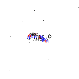 CC[C@H](C)[C@@H](C(CC(=O)N1CCC[C@H]1C(OC)[C@@H](C)C(=O)N[C@H](CN)Cc1ccccc1)OC)N(C)C(=O)[C@@H](NC(=O)[C@]1(C)CCCN1C)C(C)C